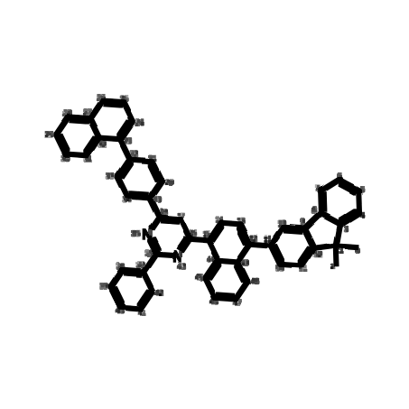 CC1(C)c2ccccc2-c2cc(-c3ccc(-c4cc(-c5ccc(-c6cccc7ccccc67)cc5)nc(-c5ccccc5)n4)c4ccccc34)ccc21